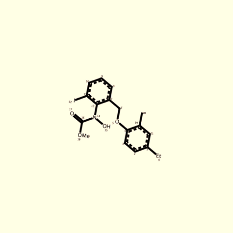 CCc1ccc(OCc2cccc(I)c2N(O)C(=O)OC)c(C)c1